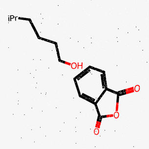 CC(C)CCCCO.O=C1OC(=O)c2ccccc21